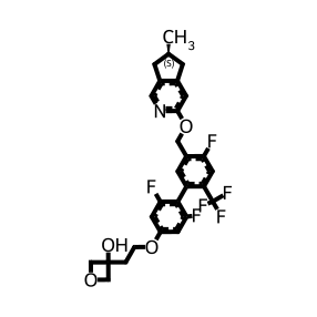 C[C@@H]1Cc2cnc(OCc3cc(-c4c(F)cc(OCCC5(O)COC5)cc4F)c(C(F)(F)F)cc3F)cc2C1